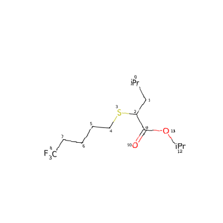 CC(C)CC(SCCCCC(F)(F)F)C(=O)OC(C)C